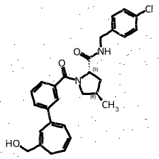 C[C@@H]1C[C@@H](C(=O)NCc2ccc(Cl)cc2)N(C(=O)c2cccc(C3=CC=CCC(CO)=C3)c2)C1